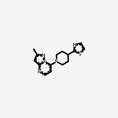 Cc1cc2nccc(N3CCC(c4nccs4)CC3)n2n1